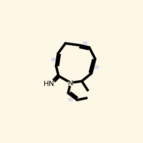 C/C=C\N1C(=N)/C=C\C/C=C\C=C/C1C